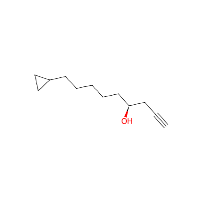 C#CC[C@@H](O)CCCCCC1CC1